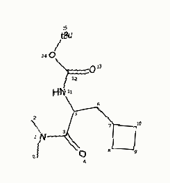 CN(C)C(=O)C(CC1CCC1)NC(=O)OC(C)(C)C